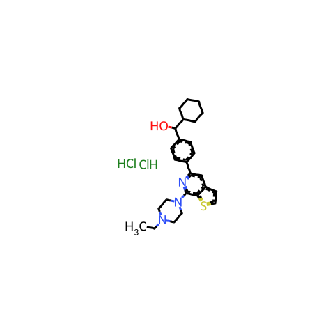 CCN1CCN(c2nc(-c3ccc(C(O)C4CCCCC4)cc3)cc3ccsc23)CC1.Cl.Cl